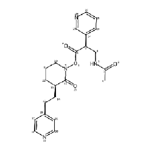 CC(=O)NCC(C(=O)ON1CCC[C@H](CCc2ccncc2)C1=O)c1cccnc1